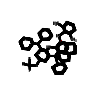 Cc1cccc(C)c1NC1=C(Nc2c(C(c3ccccc3)c3ccccc3)cc(OC(F)(F)F)cc2C(c2ccccc2)c2ccccc2)c2cccc3cccc1c23